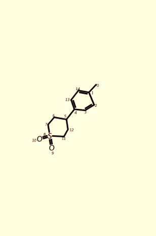 Cc1ccc(C2CCS(=O)(=O)CC2)cc1